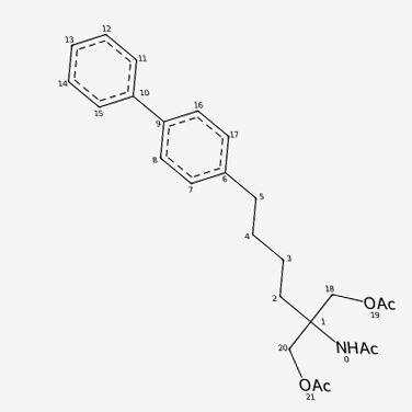 CC(=O)NC(CCCCc1ccc(-c2ccccc2)cc1)(COC(C)=O)COC(C)=O